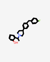 CC(c1ccccc1O)N1CCC(c2ccc(Cc3ccc(F)cc3)cc2)CC1